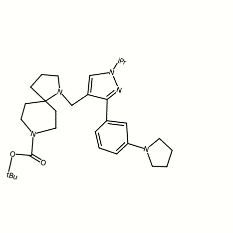 CC(C)n1cc(CN2CCCC23CCN(C(=O)OC(C)(C)C)CC3)c(-c2cccc(N3CCCC3)c2)n1